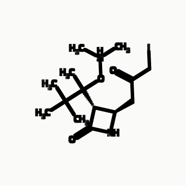 C[SiH](C)OC(C)([C@H]1C(=O)N[C@@H]1CC(=O)CI)C(C)(C)C